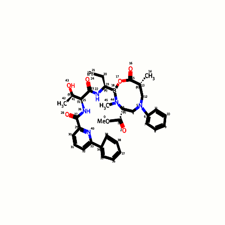 COC(=O)[C@H]1CN(c2ccccc2)C[C@@H](C)C(=O)OB([C@H](CC(C)C)NC(=O)[C@@H](NC(=O)c2cccc(-c3ccccc3)n2)[C@@H](C)O)N1C